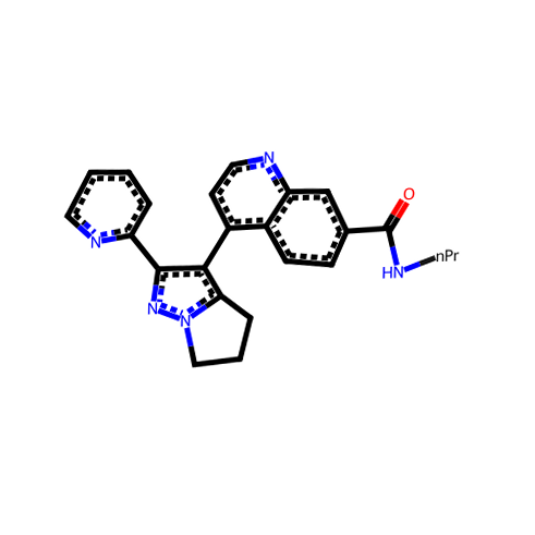 CCCNC(=O)c1ccc2c(-c3c(-c4ccccn4)nn4c3CCC4)ccnc2c1